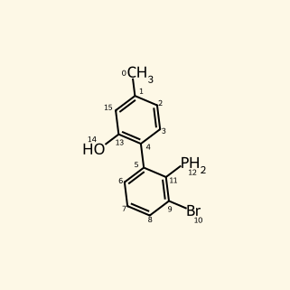 Cc1ccc(-c2cccc(Br)c2P)c(O)c1